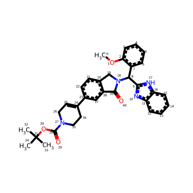 COc1ccccc1C(c1nc2ccccc2[nH]1)N1Cc2ccc(C3=CCN(C(=O)OC(C)(C)C)CC3)cc2C1=O